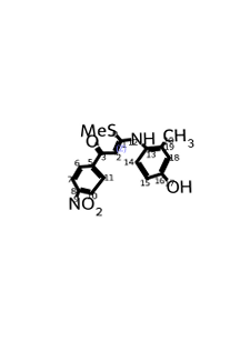 CS/C(=C\C(=O)c1ccc([N+](=O)[O-])cc1)Nc1ccc(O)cc1C